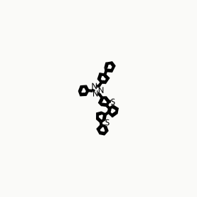 c1ccc(-c2ccc(-c3nc(-c4ccccc4)nc(-c4ccc5c(c4)sc4cccc(-c6cccc7c6sc6ccccc67)c45)n3)cc2)cc1